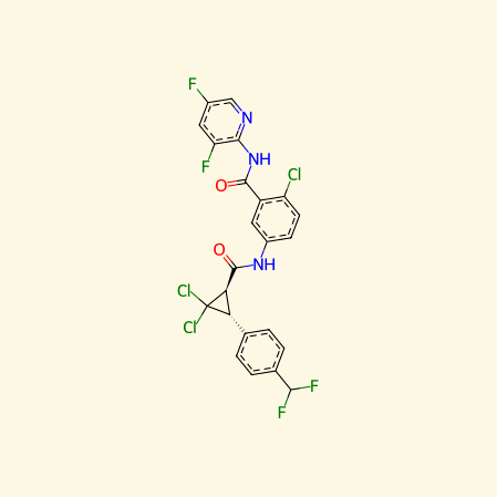 O=C(Nc1ncc(F)cc1F)c1cc(NC(=O)[C@H]2[C@H](c3ccc(C(F)F)cc3)C2(Cl)Cl)ccc1Cl